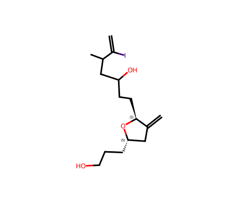 C=C(I)C(C)CC(O)CC[C@@H]1O[C@@H](CCCO)CC1=C